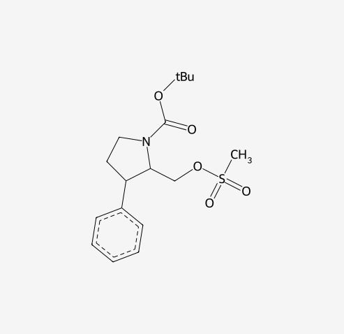 CC(C)(C)OC(=O)N1CCC(c2ccccc2)C1COS(C)(=O)=O